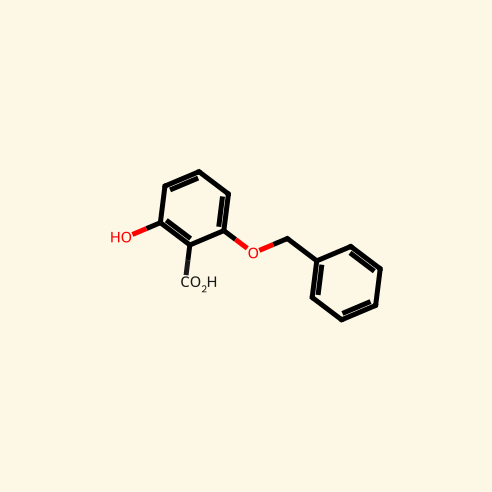 O=C(O)c1c(O)cccc1OCc1ccccc1